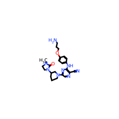 CN1CCN(C2CCCN(c3cnc(C#N)c(Nc4ccc(OCCCN)cc4)n3)C2)C1=O